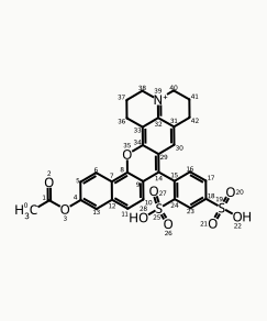 CC(=O)Oc1ccc2c3c(ccc2c1)C(c1ccc(S(=O)(=O)O)cc1S(=O)(=O)O)=c1cc2c4c(c1O3)CCC[N+]=4CCC2